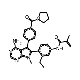 C=C(C)C(=O)Nc1ccc(-c2c(-c3ccc(C(=O)N4CCCC4)cc3)c3c(N)ncnc3n2C)c(CC)c1